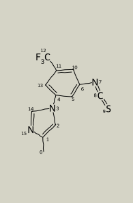 Cc1cn(-c2cc(N=C=S)cc(C(F)(F)F)c2)cn1